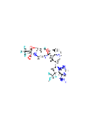 Cc1ncc(-c2cc(C(F)(F)F)c3c(N)ncnn23)cc1C(=O)N[C@@H]1CN(C(=O)[C@@H](O)C(F)(F)F)C[C@@H]1F